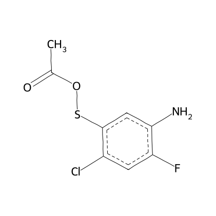 CC(=O)OSc1cc(N)c(F)cc1Cl